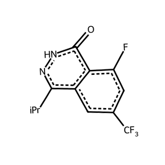 CC(C)c1n[nH]c(=O)c2c(F)cc(C(F)(F)F)cc12